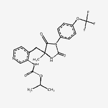 CC(C)OC(=O)Nc1cnccc1CC1(C)NC(=O)N(c2ccc(OC(F)(F)F)cc2)C1=O